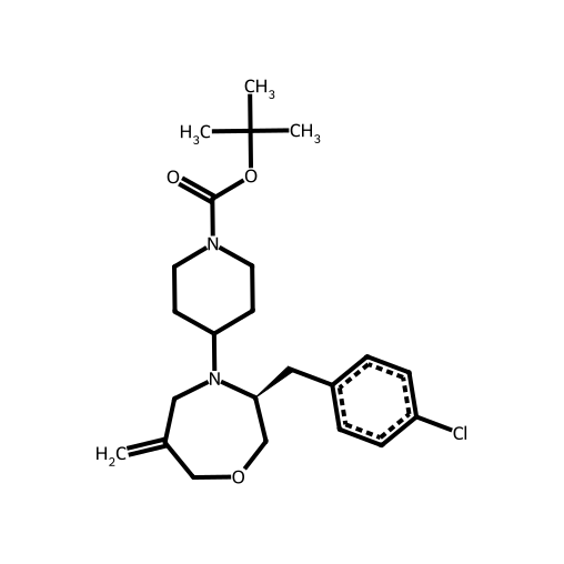 C=C1COC[C@H](Cc2ccc(Cl)cc2)N(C2CCN(C(=O)OC(C)(C)C)CC2)C1